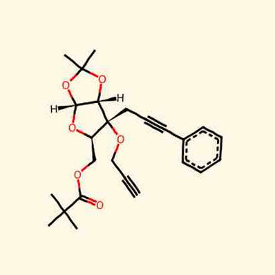 C#CCO[C@]1(CC#Cc2ccccc2)[C@@H](COC(=O)C(C)(C)C)O[C@@H]2OC(C)(C)O[C@@H]21